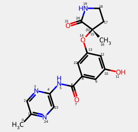 Cc1cnc(NC(=O)c2cc(O)cc(O[C@@]3(C)CCNC3=O)c2)cn1